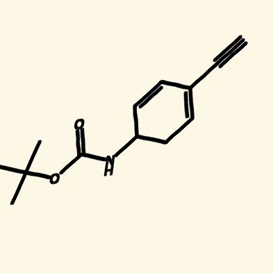 C#CC1=CCC(NC(=O)OC(C)(C)C)C=C1